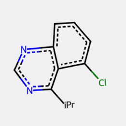 CC(C)c1ncnc2cccc(Cl)c12